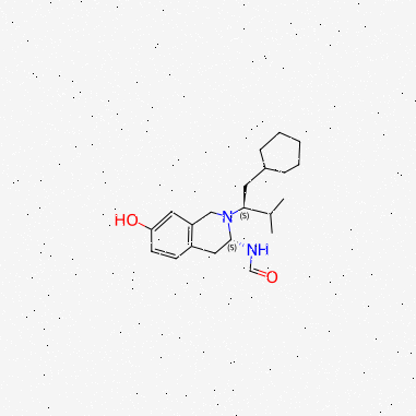 CC(C)[C@H](CC1CCCCC1)N1Cc2cc(O)ccc2C[C@H]1NC=O